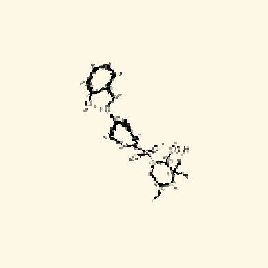 C[C@H]1CN(S(=O)(=O)c2ccc(OCc3ccccc3C(F)(F)F)cc2)[C@@H](C(=O)O)C(C)(C)O1